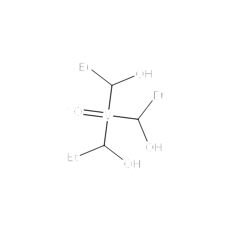 CC[CH](O)[V](=[O])([CH](O)CC)[CH](O)CC